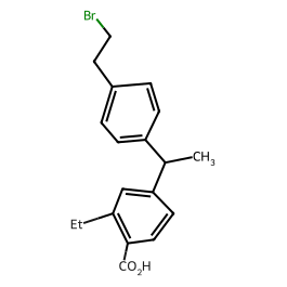 CCc1cc(C(C)c2ccc(CCBr)cc2)ccc1C(=O)O